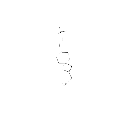 CC(C)(C)CCN1CCC2(CC1)CC(CN)C2